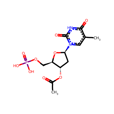 CC(=O)O[C@H]1C[C@H](n2cc(C)c(=O)[nH]c2=O)O[C@@H]1COP(=O)(O)O